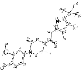 COc1cc(N2C[C@@H](C)N(C(=O)Cn3nc(C(F)(F)F)c(Cl)c3C)C[C@@H]2C)ccc1Cl